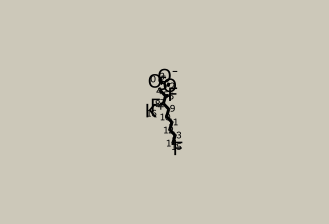 O=S(=O)([O-])CC(F)C(F)CCCCCCF.[K+]